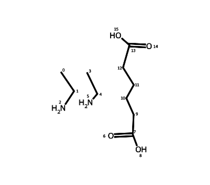 CCN.CCN.O=C(O)CCCCC(=O)O